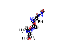 C#Cc1cc(Nc2nccc(Oc3ccc(NC(=O)Nc4cc(C(C)C)nn4-c4cccc(CP(C)(C)=O)c4)c4ccccc34)n2)cc(C(=O)NCCN2CCOCC2)c1